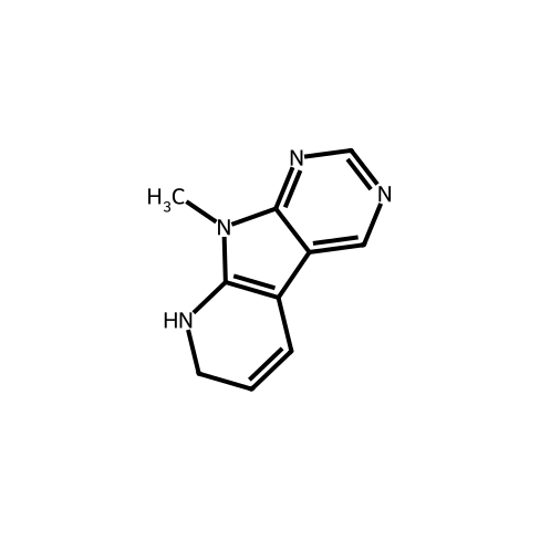 Cn1c2c(c3cncnc31)C=CCN2